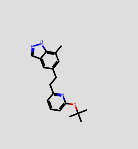 Cc1cc(C[CH]c2cccc(OC(C)(C)C)n2)cc2cn[nH]c12